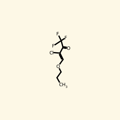 CCCOC=C(Cl)C(=O)C(F)(F)F